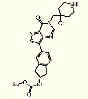 CC(C)(C)OC(=O)NC1Cc2ccc(-c3snc4c(=O)n(CC5(O)CCNCC5)cnc34)cc2C1